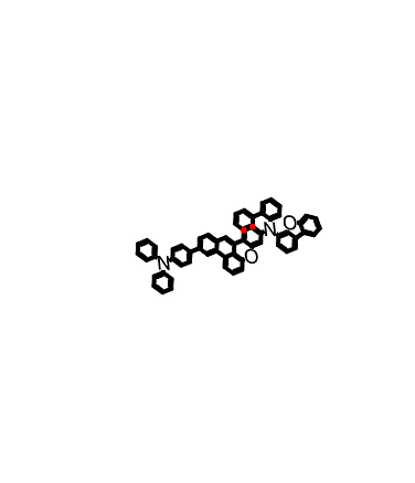 c1ccc(-c2ccccc2N(c2ccc3c(c2)Oc2cccc4c2c-3cc2ccc(-c3ccc(N(c5ccccc5)c5ccccc5)cc3)cc24)c2cccc3c2oc2ccccc23)cc1